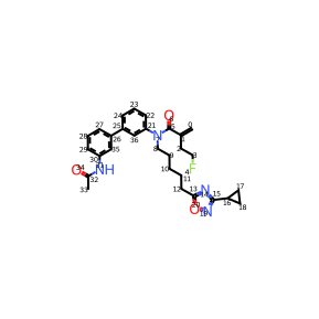 C=C(CCF)C(=O)N(CCCCCc1nc(C2CC2)no1)c1cccc(-c2cccc(NC(C)=O)c2)c1